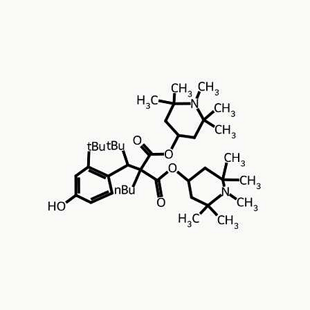 CCCCC(C(=O)OC1CC(C)(C)N(C)C(C)(C)C1)(C(=O)OC1CC(C)(C)N(C)C(C)(C)C1)C(c1ccc(O)cc1C(C)(C)C)C(C)(C)C